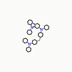 c1ccc(N(c2ccccc2)c2ccc(Cc3ccc(N(c4ccccc4)c4ccc5c6ccccc6n(-c6ccccc6)c5c4)cc3)cc2)cc1